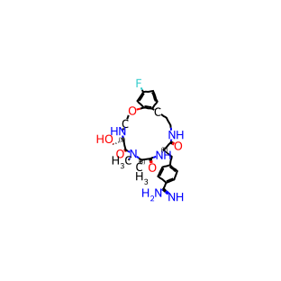 C[C@@H]1C(=O)N[C@H](Cc2ccc(C(=N)N)cc2)C(=O)NCCCc2ccc(F)cc2OCCN[C@@H](CO)C(=O)N1C